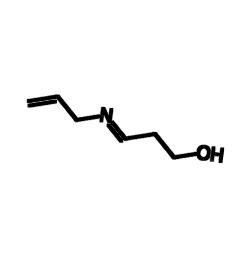 C=CCN=CCCO